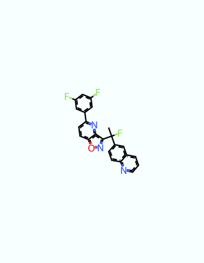 CC(F)(c1ccc2ncccc2c1)c1noc2ccc(-c3cc(F)cc(F)c3)nc12